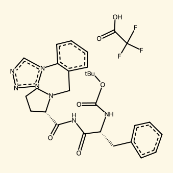 CC(C)(C)OC(=O)N[C@H](Cc1ccccc1)C(=O)NC(=O)[C@@H]1CCCN1Cc1ccccc1-n1cnnn1.O=C(O)C(F)(F)F